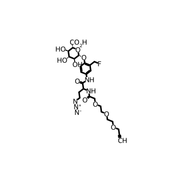 C#CCOCCOCCOCC(=O)NC(CCN=[N+]=[N-])C(=O)Nc1ccc(O[C@H]2O[C@@H](C(=O)O)[C@H](O)[C@@H](O)[C@@H]2O)c(CF)c1